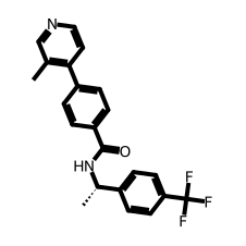 Cc1cnccc1-c1ccc(C(=O)N[C@@H](C)c2ccc(C(F)(F)F)cc2)cc1